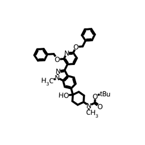 CN(C(=O)OC(C)(C)C)C1CCC(O)(c2ccc3c(-c4ccc(OCc5ccccc5)nc4OCc4ccccc4)nn(C)c3c2)CC1